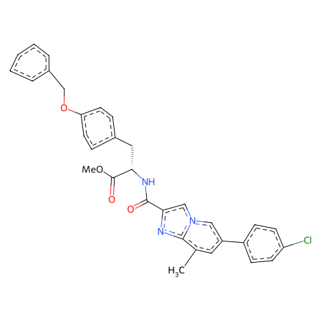 COC(=O)[C@H](Cc1ccc(OCc2ccccc2)cc1)NC(=O)c1cn2cc(-c3ccc(Cl)cc3)cc(C)c2n1